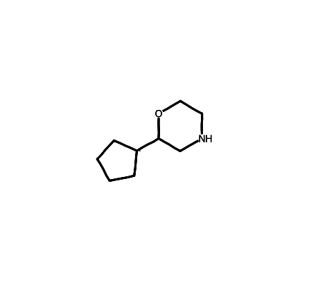 C1CC[C](C2CNCCO2)C1